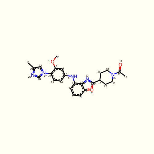 COc1cc(Nc2cccc3oc(C4CCN(C(C)=O)CC4)nc23)ccc1-n1cnc(C)c1